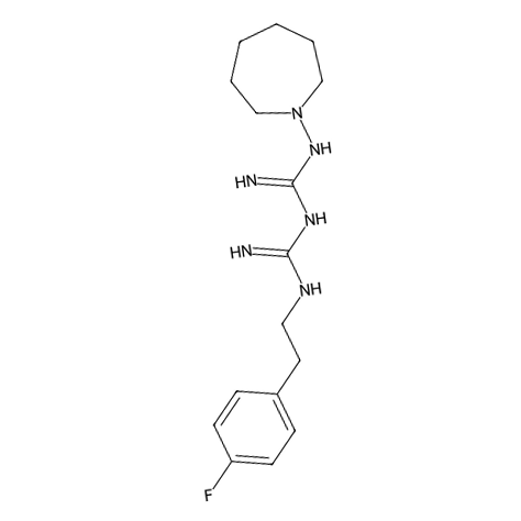 N=C(NCCc1ccc(F)cc1)NC(=N)NN1CCCCCC1